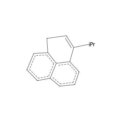 CC(C)C1=CCc2cccc3cccc1c23